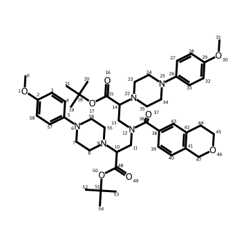 COc1ccc(N2CCN(C(CN(CC(C(=O)OC(C)(C)C)N3CCN(c4ccc(OC)cc4)CC3)C(=O)c3ccc4c(c3)CCOC4)C(=O)OC(C)(C)C)CC2)cc1